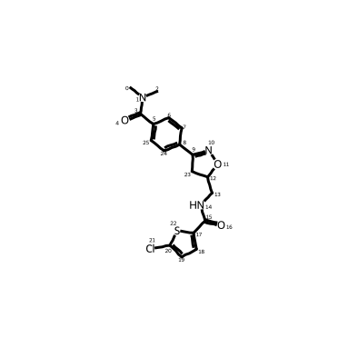 CN(C)C(=O)c1ccc(C2=NOC(CNC(=O)c3ccc(Cl)s3)C2)cc1